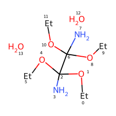 CCOC(N)(OCC)C(N)(OCC)OCC.O.O